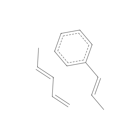 C=CC=CC.CC=Cc1ccccc1